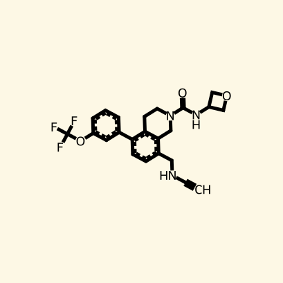 C#CNCc1ccc(-c2cccc(OC(F)(F)F)c2)c2c1CN(C(=O)NC1COC1)CC2